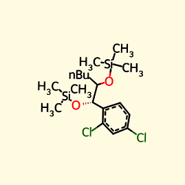 CCCCC(O[Si](C)(C)C)[C@@H](O[Si](C)(C)C)c1ccc(Cl)cc1Cl